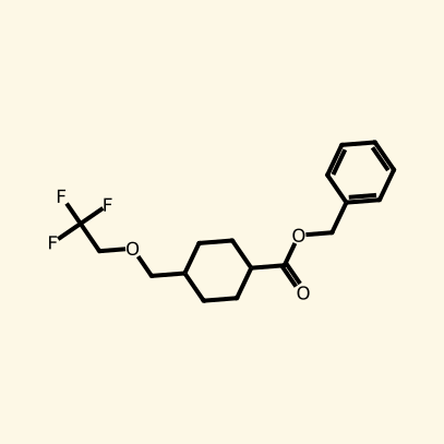 O=C(OCc1ccccc1)C1CCC(COCC(F)(F)F)CC1